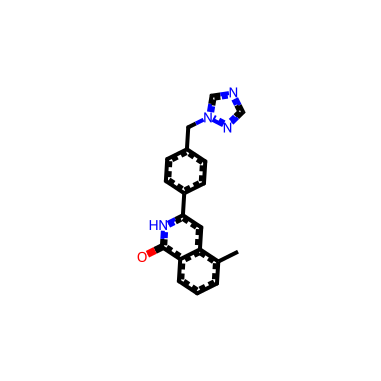 Cc1cccc2c(=O)[nH]c(-c3ccc(Cn4cncn4)cc3)cc12